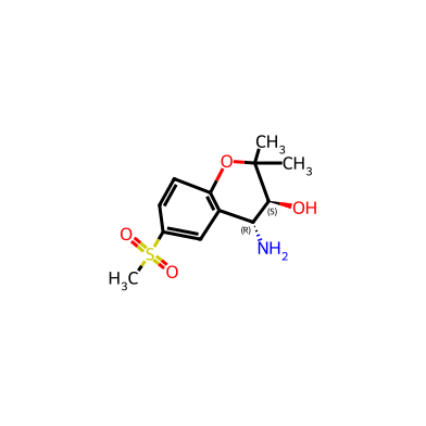 CC1(C)Oc2ccc(S(C)(=O)=O)cc2[C@@H](N)[C@@H]1O